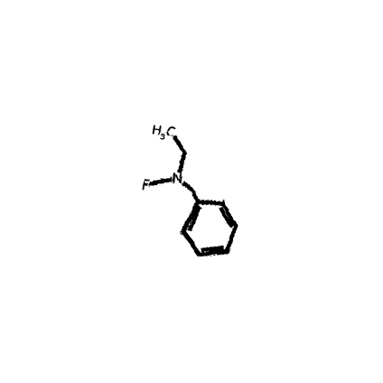 CCN(F)c1[c]cccc1